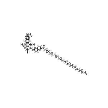 N=C(C1=C(N)N=CNC1NCc1ccc2c(c1)CCN(C(=O)CCOCCOCCOCCOCCOCCOCCOCCOCCN)C2)c1ccc2oc(N)nc2c1